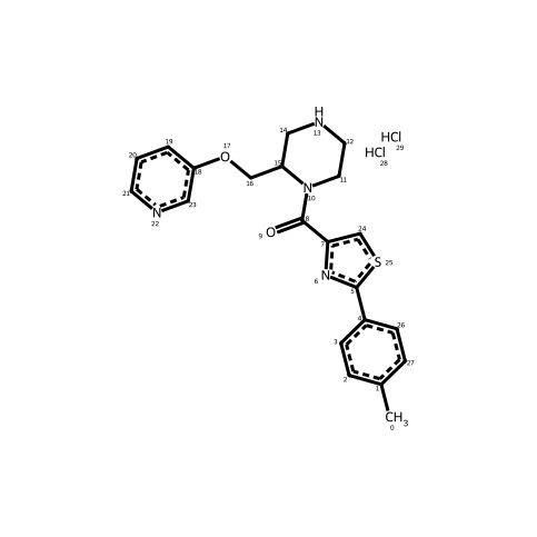 Cc1ccc(-c2nc(C(=O)N3CCNCC3COc3cccnc3)cs2)cc1.Cl.Cl